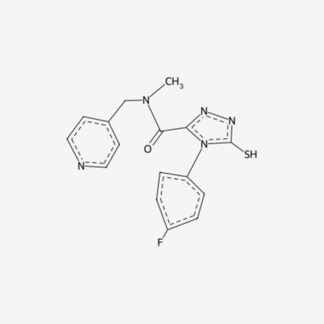 CN(Cc1ccncc1)C(=O)c1nnc(S)n1-c1ccc(F)cc1